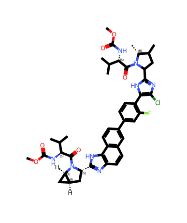 COC(=O)N[C@H](C(=O)N1C(c2nc(Cl)c(-c3ccc(-c4ccc5c(ccc6nc([C@@H]7C[C@H]8C[C@H]8N7C(=O)[C@@H](NC(=O)OC)C(C)C)[nH]c65)c4)cc3F)[nH]2)CC(C)[C@H]1C)C(C)C